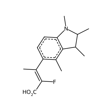 CC(=C(F)C(=O)O)c1ccc2c(c1C)C(C)C(C)N2C